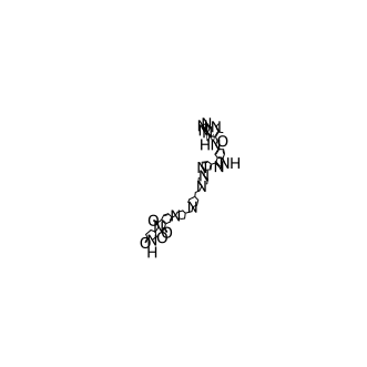 CC1=C(C(=O)Nc2ccc3[nH]nc(-c4ccnc(N5CCN(CCC6CCN(CC7CCN(c8ccc9c(c8)C(=O)N(C8CCC(=O)NC8=O)C9=O)CC7)CC6)CC5)c4)c3c2)[C@@H](C)n2nnnc2N1C